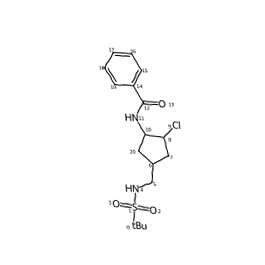 CC(C)(C)S(=O)(=O)NCC1CC(Cl)C(NC(=O)c2ccccc2)C1